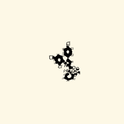 CS(=O)(=O)O[N+]1(NC(=O)C2=NN(c3ccc(Cl)cc3Cl)[C@@H](c3ccc(Cl)cc3)C2)CCCCC1